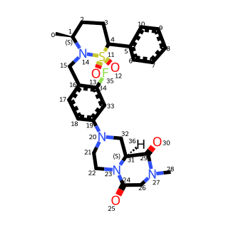 C[C@H]1CCC(c2ccccc2)S(=O)(=O)N1Cc1ccc(N2CCN3C(=O)CN(C)C(=O)[C@@H]3C2)cc1F